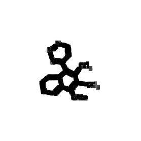 COc1c(C(Cl)(Cl)Cl)c(C(Cl)(Cl)Cl)c(-c2ccnnn2)c2ccccc12